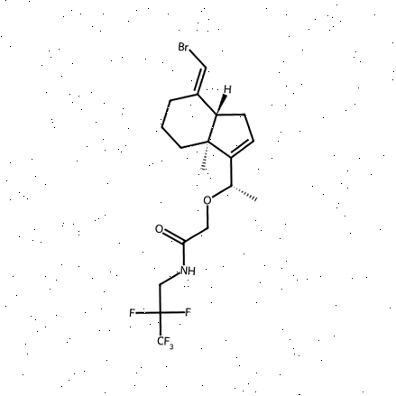 C[C@H](OCC(=O)NCC(F)(F)C(F)(F)F)C1=CC[C@H]2C(=CBr)CCC[C@]12C